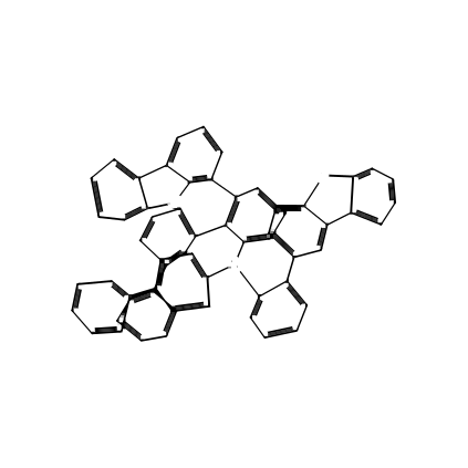 c1ccc(-c2ccc(N(c3ccccc3-c3ccc4sc5ccccc5c4c3)c3cccc(-c4cccc5c4oc4ccccc45)c3-c3cccc(-c4ccccc4)c3)cc2)cc1